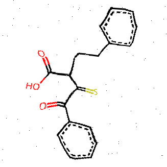 O=C(C(=S)C(CCc1ccccc1)C(=O)O)c1ccccc1